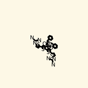 N#CC(C#N)=Nc1ccc(-c2cc3c(s2)-c2sc(-c4ccc(N=C(C#N)C#N)s4)cc2C3(C(=O)OCc2ccccc2)C(=O)OCc2ccccc2)s1